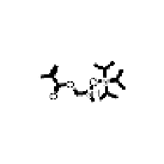 C=C(C)C(=O)OC[SiH](C)O[Si](C(C)C)(C(C)C)C(C)C